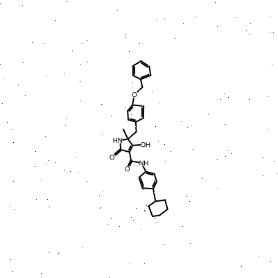 CC1(Cc2ccc(OCc3ccccc3)cc2)NC(=O)C(C(=O)Nc2ccc(C3CCCCC3)cc2)=C1O